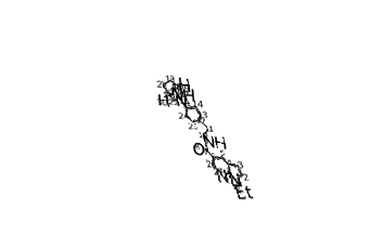 CCn1ccc2cc(C(=O)NCCc3ccc(N4C[C@H]5CC[C@@H](C4)N5)cc3)cnc21